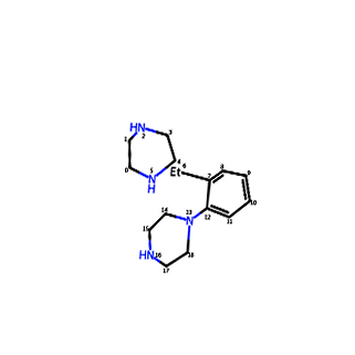 C1CNCCN1.CCc1ccccc1N1CCNCC1